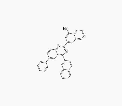 Brc1cc(-c2nc(-c3ccc4ccccc4c3)c3cc(-c4ccccc4)ccc3n2)cc2ccccc12